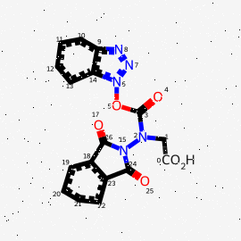 O=C(O)CN(C(=O)On1nnc2ccccc21)N1C(=O)c2ccccc2C1=O